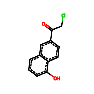 O=C(CCl)c1ccc2c(O)cccc2c1